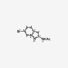 CC(=O)Nc1cc2ccc(Br)cn2n1